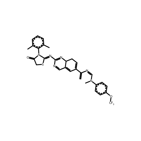 C=C(/N=C\N(C)c1ccc(OC(F)(F)F)cc1)C1=CCC2N=C(/N=C3\SCC(=O)N3c3c(C)cccc3C)N=CC2=C1